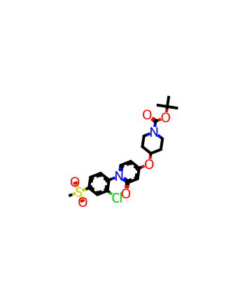 CC(C)(C)OC(=O)N1CCC(Oc2ccn(-c3ccc(S(C)(=O)=O)cc3Cl)c(=O)c2)CC1